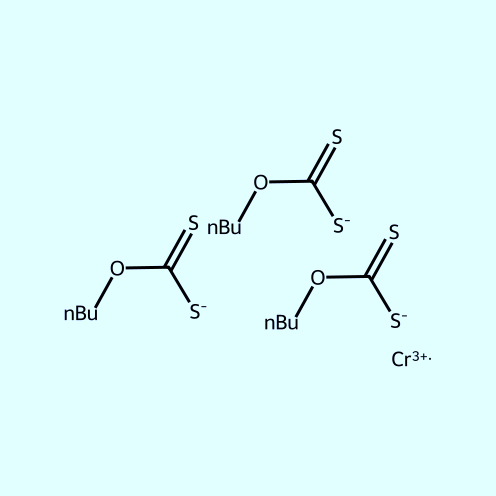 CCCCOC(=S)[S-].CCCCOC(=S)[S-].CCCCOC(=S)[S-].[Cr+3]